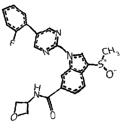 C[S+]([O-])c1cn(-c2ncc(-c3ccccc3F)cn2)c2cc(C(=O)NC3COC3)ccc12